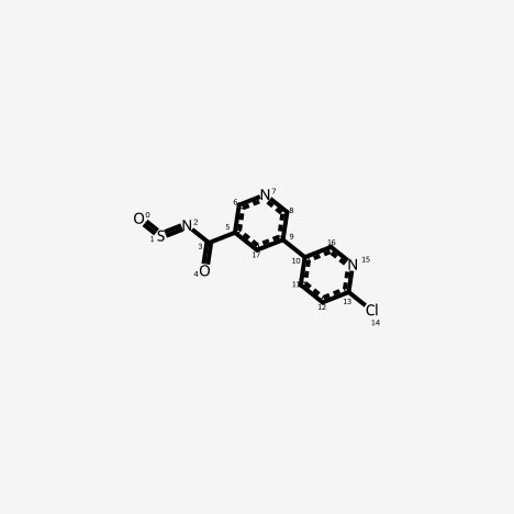 O=S=NC(=O)c1cncc(-c2ccc(Cl)nc2)c1